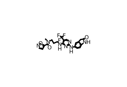 CN(CCCNc1nc(Nc2ccc3c(c2)CC(=O)N3)ncc1C(F)(F)F)C(=O)c1ccno1